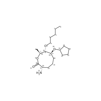 CCCCCO[C@H]1[C@H](C)OC(=O)[C@@H](N)CCC[C@@H]1OC1CCCC1